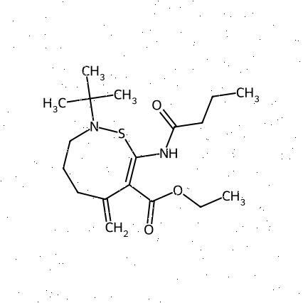 C=C1CCCN(C(C)(C)C)S/C(NC(=O)CCC)=C\1C(=O)OCC